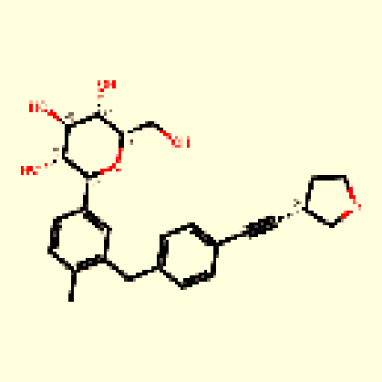 Cc1ccc([C@@H]2O[C@H](CO)[C@@H](O)[C@H](O)[C@H]2O)cc1Cc1ccc(C#C[C@@H]2CCOC2)cc1